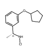 C[C@@H](NCl)c1cccc(OC2CCCC2)c1